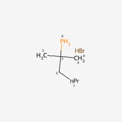 Br.CCCCC(C)(C)P